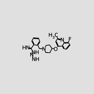 Cc1cc(OC2CCN(Cc3ccccc3C(=N)NN=N)CC2)c2cccc(F)c2n1